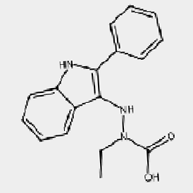 CCN(Nc1c(-c2ccccc2)[nH]c2ccccc12)C(=O)O